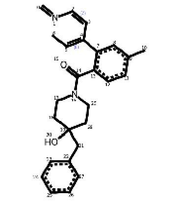 C=N/C=C\C(=C/C)c1cc(C)ccc1C(=O)N1CCC(O)(Cc2ccccc2)CC1